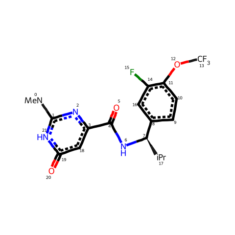 CNc1nc(C(=O)N[C@@H](c2ccc(OC(F)(F)F)c(F)c2)C(C)C)cc(=O)[nH]1